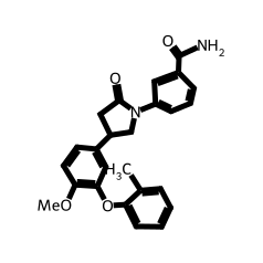 COc1ccc(C2CC(=O)N(c3cccc(C(N)=O)c3)C2)cc1Oc1ccccc1C